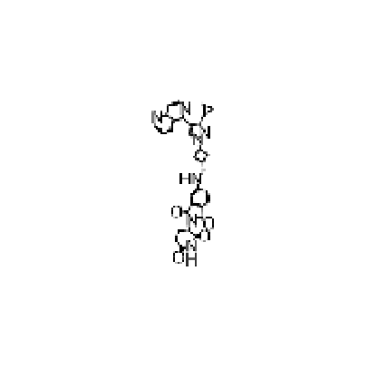 O=C1CCC(N2C(=O)c3ccc(NC[C@H]4C[C@H](n5cc(-c6nccc7ncccc67)c(C6CC6)n5)C4)cc3C2=O)C(=O)N1